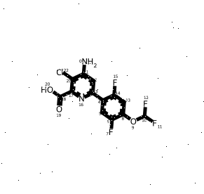 Nc1cc(-c2cc(F)c(OC(F)F)cc2F)nc(C(=O)O)c1Cl